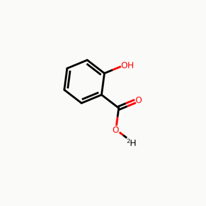 [2H]OC(=O)c1ccccc1O